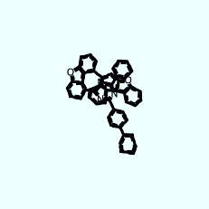 c1ccc(-c2ccc(-c3nc(-c4ccccc4)nc(-c4cccc5oc6cccc(-c7cc8oc9ccccc9c8c8ccccc78)c6c45)n3)cc2)cc1